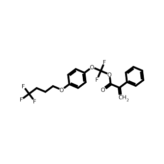 C=C(C(=O)OC(F)(F)Oc1ccc(OCCCC(F)(F)F)cc1)c1ccccc1